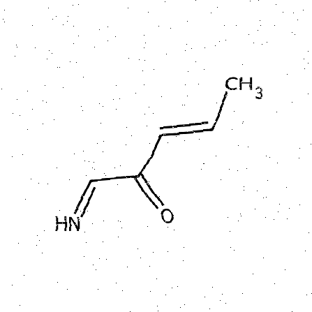 CC=CC(=O)C=N